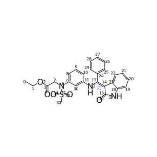 CCOC(=O)CN(c1cccc(N/C(=C2\C(=O)Nc3ccccc32)c2ccccc2)c1)S(C)(=O)=O